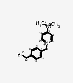 CN(C)c1cc[n+](Cc2ccc(CBr)cc2)cc1